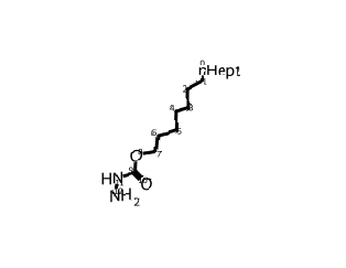 CCCCCCCCCCCCCCOC(=O)NN